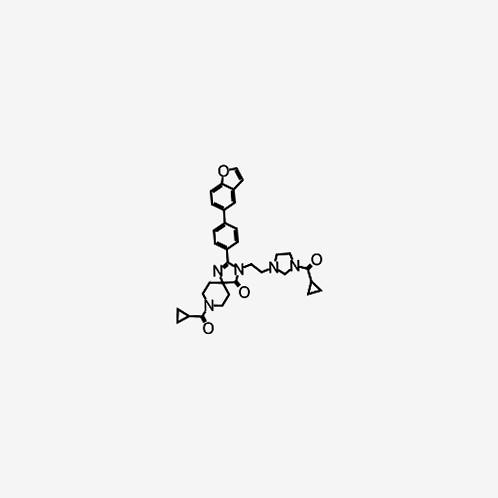 O=C(C1CC1)N1CCC2(CC1)N=C(c1ccc(-c3ccc4occc4c3)cc1)N(CCN1CCN(C(=O)C3CC3)C1)C2=O